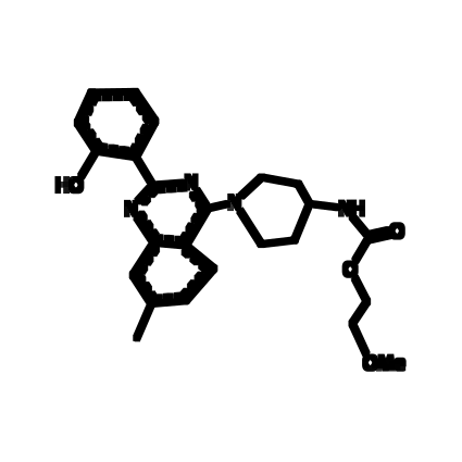 COCCOC(=O)NC1CCN(c2nc(-c3ccccc3O)nc3cc(C)ccc23)CC1